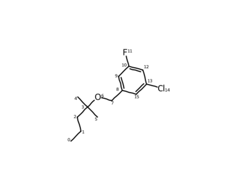 CCCC(C)(C)OCc1cc(F)cc(Cl)c1